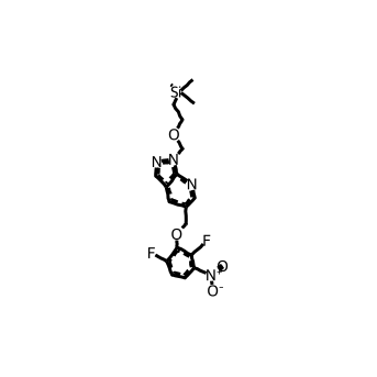 C[Si](C)(C)CCOCn1ncc2cc(COc3c(F)ccc([N+](=O)[O-])c3F)cnc21